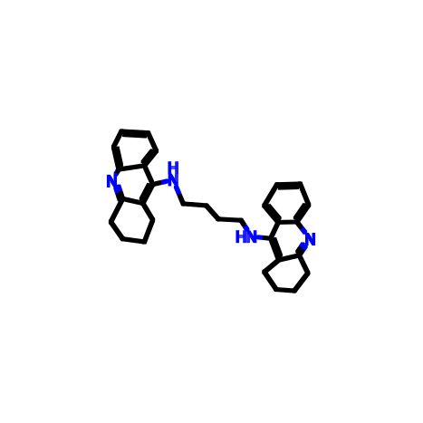 c1ccc2c(NCCCCNc3c4c(nc5ccccc35)CCCC4)c3c(nc2c1)CCCC3